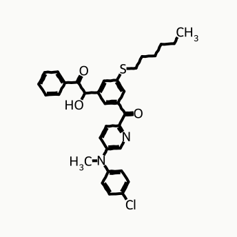 CCCCCCSc1cc(C(=O)c2ccc(N(C)c3ccc(Cl)cc3)cn2)cc(C(O)C(=O)c2ccccc2)c1